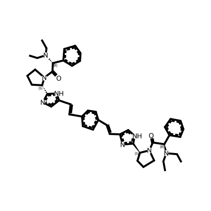 CCN(CC)[C@@H](C(=O)N1CCC[C@H]1c1nc(C=Cc2ccc(C=Cc3cnc([C@@H]4CCCN4C(=O)[C@@H](c4ccccc4)N(CC)CC)[nH]3)cc2)c[nH]1)c1ccccc1